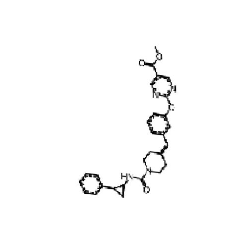 COC(=O)c1cnc(Oc2cccc(C=C3CCN(C(=O)NC4CC4c4ccccc4)CC3)c2)nc1